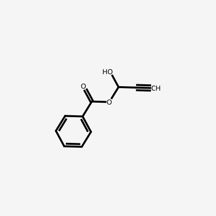 C#CC(O)OC(=O)c1ccccc1